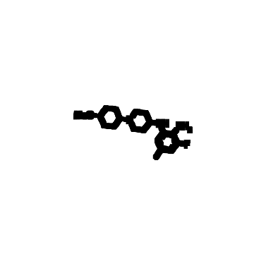 CO[C@H]1CC[C@@H](N2CCC(Nc3cc(C)cc(F)c3N)CC2)CC1